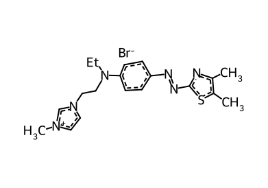 CCN(CCn1cc[n+](C)c1)c1ccc(N=Nc2nc(C)c(C)s2)cc1.[Br-]